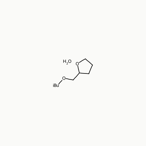 CCC(C)OCC1CCCO1.O